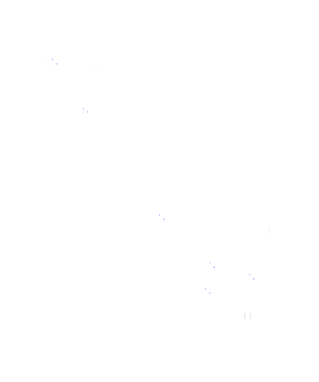 Cc1nc2c(C)cc(-c3[nH]c4sc(C5CCN(CC(N)=O)CC5)c(C)c4c3C(C)C)cn2n1